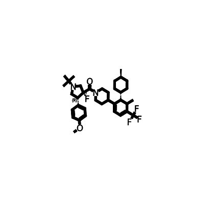 COc1ccc([C@@H]2CN(C(C)(C)C)C[C@@]2(F)C(=O)N2CCC(C3=CC=C(C(F)(F)F)C(C)C3[C@H]3CC[C@H](C)CC3)CC2)cc1